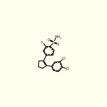 NS(=O)(=O)c1ccc(C2=C(c3ccc(Cl)c(Cl)c3)CCC2)cc1F